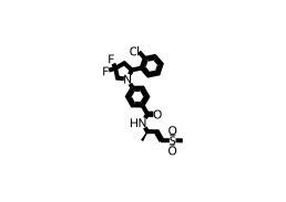 C[C@H](/C=C/S(C)(=O)=O)NC(=O)c1ccc(N2CC(F)(F)CC2c2ccccc2Cl)cc1